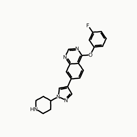 Fc1cccc(Oc2ncnc3cc(-c4cnn(C5CCNCC5)c4)ccc23)c1